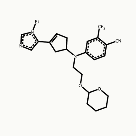 CCn1cncc1C1=CCC(N(CCOC2CCCCO2)c2ccc(C#N)c(C(F)(F)F)c2)C1